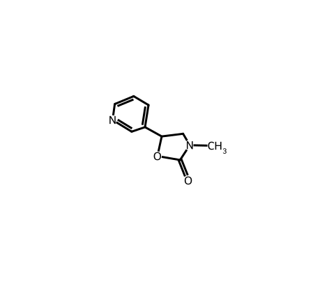 CN1CC(c2cccnc2)OC1=O